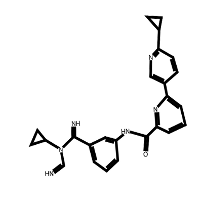 N=CN(C(=N)c1cccc(NC(=O)c2cccc(-c3ccc(C4CC4)nc3)n2)c1)C1CC1